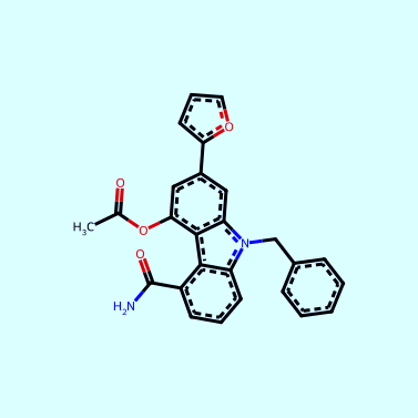 CC(=O)Oc1cc(-c2ccco2)cc2c1c1c(C(N)=O)cccc1n2Cc1ccccc1